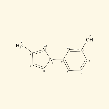 Cc1ccn(-c2cccc(O)c2)n1